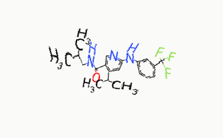 CC(C)CNC(=O)c1cnc(Nc2cccc(C(F)(F)F)c2)cc1C(C)C